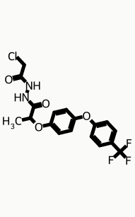 CC(Oc1ccc(Oc2ccc(C(F)(F)F)cc2)cc1)C(=O)NNC(=O)CCl